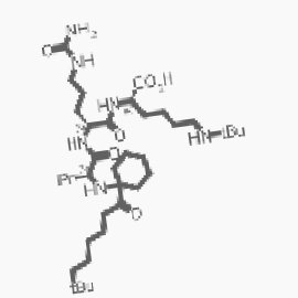 CC(C)[C@H](NC1(C(=O)CCCCCC(C)(C)C)CCCCC1)C(=O)N[C@@H](CCCNC(N)=O)C(=O)N[C@H](CCCCNC(C)(C)C)C(=O)O